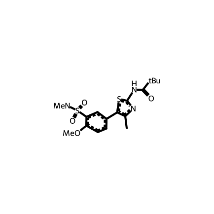 CNS(=O)(=O)c1cc(-c2sc(NC(=O)C(C)(C)C)nc2C)ccc1OC